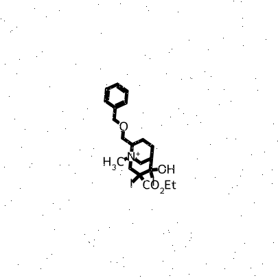 CCOC(=O)C1(I)C[N+]2(C)CC(CCC2COCc2ccccc2)C1(O)I